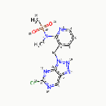 CN(c1ncccc1Cn1nnc2cnc(Cl)nc21)S(C)(=O)=O